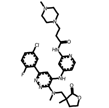 CN1CCN(CCC(=O)Nc2cc(Nc3cc(-c4cc(Cl)ccc4F)nnc3N(C)CC3(C)CCOC3=O)ccn2)CC1